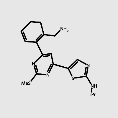 CSc1nc(C2=C(CN)CCC=C2)cc(-c2cnc(NC(C)C)s2)n1